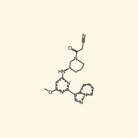 COc1cc(N[C@@H]2CCCN(C(=O)CC#N)C2)nc(-c2cnn3ccccc23)n1